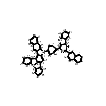 c1ccc2cc(-c3nc(-c4ccc(-n5c6cc7ccccc7cc6c6c7c8ccccc8n8c9ccccc9c(cc65)c78)cc4)c4sc5ccccc5c4n3)ccc2c1